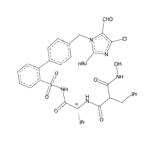 CCCCc1nc(Cl)c(C=O)n1Cc1ccc(-c2ccccc2S(=O)(=O)NC(=O)[C@H](NC(=O)C(CC(C)C)C(=O)NO)C(C)C)cc1